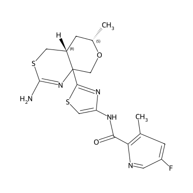 Cc1cc(F)cnc1C(=O)Nc1csc(C23CO[C@@H](C)C[C@H]2CSC(N)=N3)n1